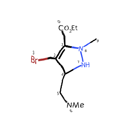 CCOC(=O)C1=C(Br)C(CNC)NN1C